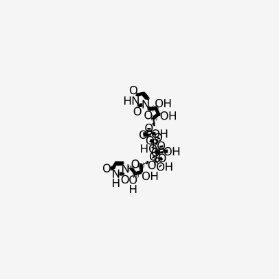 O=c1ccn([C@@H]2O[C@H](COP(=O)(O)OP(=O)(O)OP(=O)(O)OP(=O)(O)OC[C@H]3O[C@@H](n4ccc(=O)[nH]c4=O)[C@@H](O)C3O)C(O)[C@@H]2O)c(=O)[nH]1